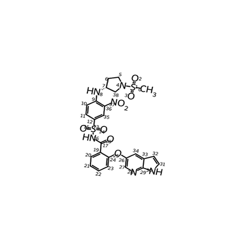 CS(=O)(=O)N1CC[C@@H](Nc2ccc(S(=O)(=O)NC(=O)c3ccccc3Oc3cnc4[nH]ccc4c3)cc2[N+](=O)[O-])C1